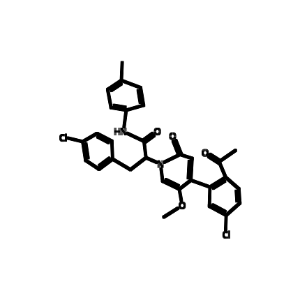 COc1cn(C(Cc2ccc(Cl)cc2)C(=O)Nc2ccc(C)cc2)c(=O)cc1-c1cc(Cl)ccc1C(C)=O